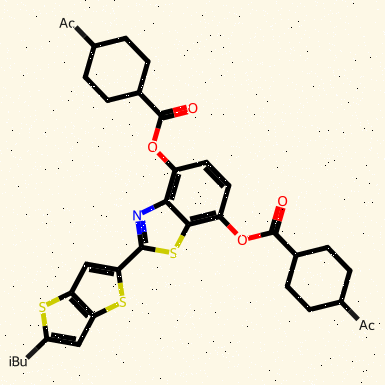 CCC(C)c1cc2sc(-c3nc4c(OC(=O)C5CCC(C(C)=O)CC5)ccc(OC(=O)C5CCC(C(C)=O)CC5)c4s3)cc2s1